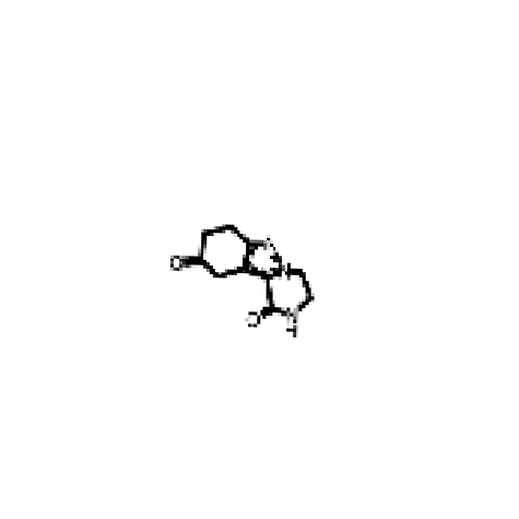 O=C1CCc2nn3c(c2C1)C(=O)NCC3